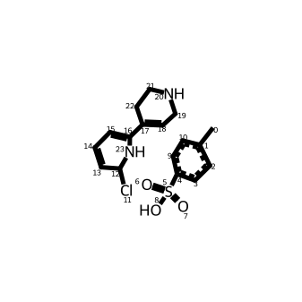 Cc1ccc(S(=O)(=O)O)cc1.ClC1C=CC=C(C2=CCNCC2)N1